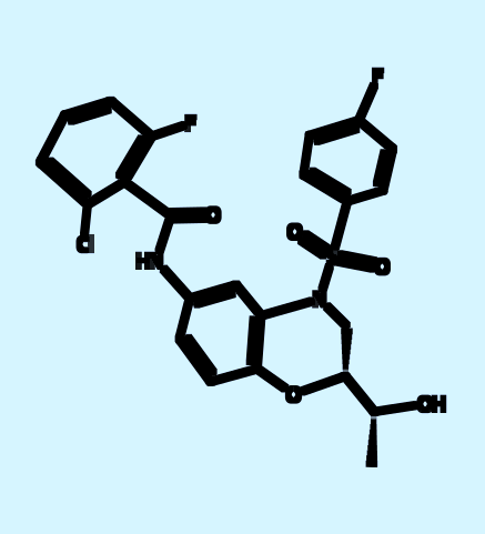 C[C@@H](O)[C@H]1CN(S(=O)(=O)c2ccc(F)cc2)c2cc(NC(=O)c3c(F)cccc3Cl)ccc2O1